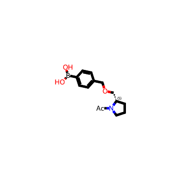 CC(=O)N1CCC[C@H]1COCc1ccc(B(O)O)cc1